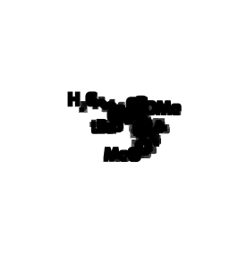 C=CCCCCC[C@H](NC(=O)OC(C)(C)C)C(=O)N1C[C@]2(CCc3c(c(C4CC4)nc4ccc(OC)cc34)O2)C[C@H]1C(=O)OC